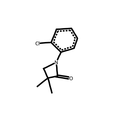 CC1(C)CN(c2ccccc2Cl)C1=O